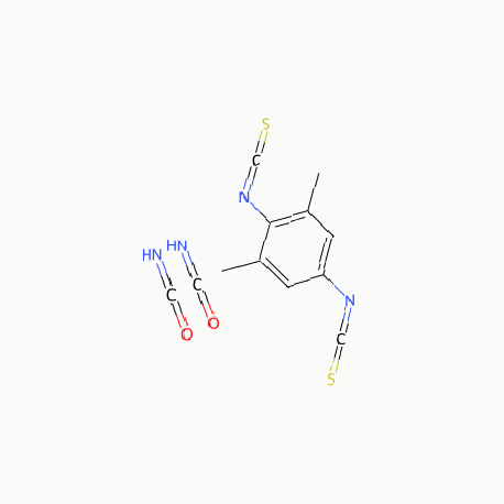 Cc1cc(N=C=S)cc(C)c1N=C=S.N=C=O.N=C=O